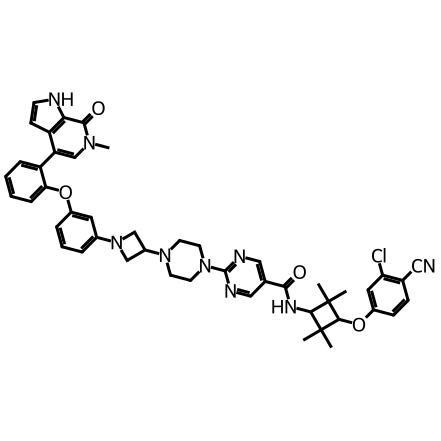 Cn1cc(-c2ccccc2Oc2cccc(N3CC(N4CCN(c5ncc(C(=O)NC6C(C)(C)C(Oc7ccc(C#N)c(Cl)c7)C6(C)C)cn5)CC4)C3)c2)c2cc[nH]c2c1=O